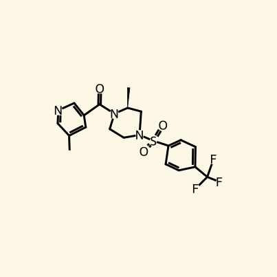 Cc1cncc(C(=O)N2CCN(S(=O)(=O)c3ccc(C(F)(F)F)cc3)C[C@@H]2C)c1